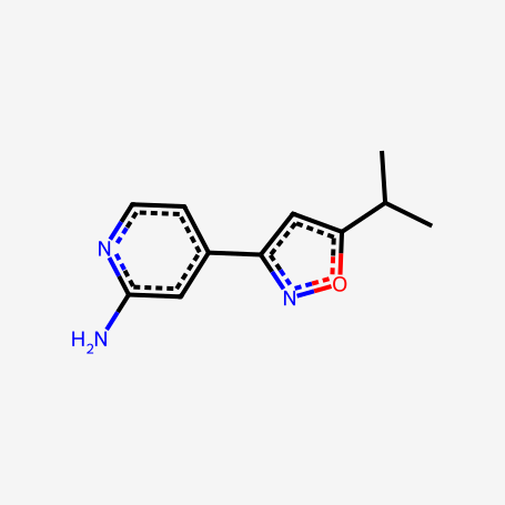 CC(C)c1cc(-c2ccnc(N)c2)no1